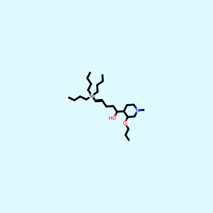 CCC[CH2][Sn]([CH]=CCCC(O)C1CCN(C)CC1OCCC)([CH2]CCC)[CH2]CCC